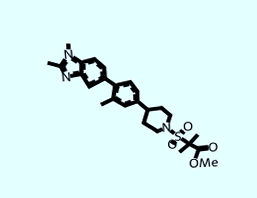 COC(=O)C(C)(C)S(=O)(=O)N1CCC(c2ccc(-c3ccc4c(c3)nc(C)n4C)c(C)c2)CC1